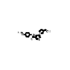 O=C(Nc1ccc(OC(F)(F)F)cc1)c1cncc(N2CCC(CO)C2)c1